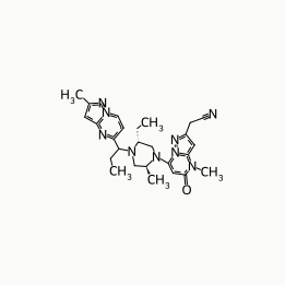 CCC(c1ccn2nc(C)cc2n1)N1C[C@H](C)N(c2cc(=O)n(C)c3cc(CC#N)nn23)C[C@H]1CC